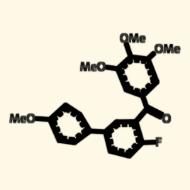 COc1ccc(-c2ccc(F)c(C(=O)c3cc(OC)c(OC)c(OC)c3)c2)cc1